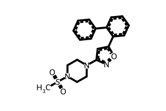 CS(=O)(=O)N1CCN(c2cc(-c3ccccc3-c3ccccc3)on2)CC1